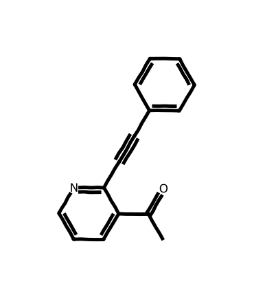 CC(=O)c1cccnc1C#Cc1ccccc1